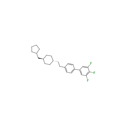 Fc1cc(-c2ccc(CC[C@H]3CC[C@H](CC4CCCC4)CC3)cc2)cc(F)c1F